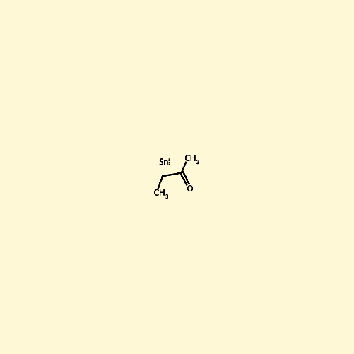 CCC(C)=O.[Sn]